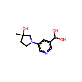 C[C@]1(O)CCN(c2cncc(B(O)O)c2)C1